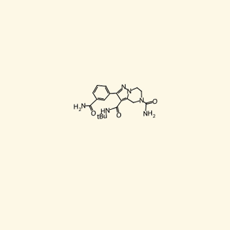 CC(C)(C)NC(=O)c1c(-c2cccc(C(N)=O)c2)nn2c1CN(C(N)=O)CC2